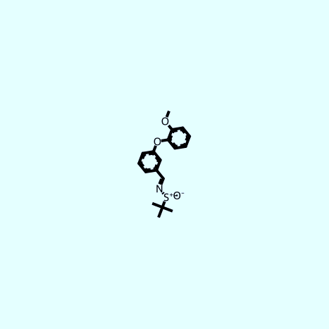 COc1ccccc1Oc1cccc(/C=N/[S@+]([O-])C(C)(C)C)c1